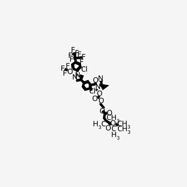 CC(C)(C)OC(=O)C(C)(C)CC(=O)OCCOC(=O)OCN(C(=O)c1cc(-c2cnn(-c3c(Cl)cc(C(F)(C(F)(F)F)C(F)(F)F)cc3OC(F)(F)F)c2)ccc1Cl)C1(C#N)CC1